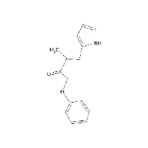 CC(Cc1ccc[nH]1)C(=O)COc1ccccc1